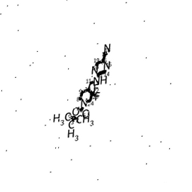 CC(C)(C)OC(=O)N1CC[C@@H](CNc2cnc(C#N)cn2)C(F)(F)C1